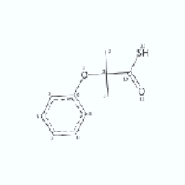 CC(C)(Oc1cc[c]cc1)C(=O)S